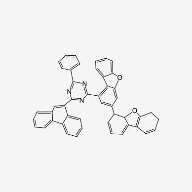 C1=CC(c2cc(-c3nc(-c4ccccc4)nc(-c4cc5ccccc5c5ccccc45)n3)c3c(c2)oc2ccccc23)C2OC3=C(C=CCC3)C2=C1